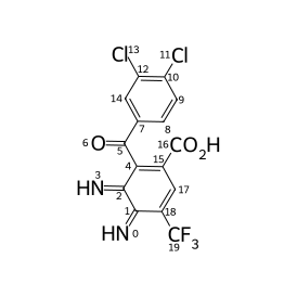 N=C1C(=N)C(C(=O)c2ccc(Cl)c(Cl)c2)=C(C(=O)O)C=C1C(F)(F)F